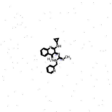 C=C1/C(=N\C(=N/C)NCc2ccccn2)C(NC2CC2)=Nc2ccccc21